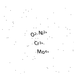 [Cr+3].[Mo+4].[Ni+2].[O-2]